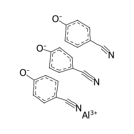 N#Cc1ccc([O-])cc1.N#Cc1ccc([O-])cc1.N#Cc1ccc([O-])cc1.[Al+3]